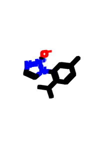 Cc1ccc(C(C)C)c(-n2ccn[n+]2[O-])c1